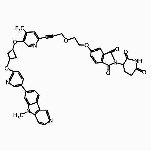 Cn1c2ccncc2c2ccc(-c3ccc(OC4CC(Oc5cnc(C#CCOCCOc6ccc7c(c6)C(=O)N(C6CCC(=O)NC6=O)C7=O)cc5C(F)(F)F)C4)nc3)cc21